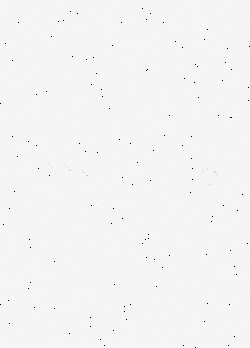 N#CC=CC=CCCC1CCC(CCCCC2CCC(c3ccc(OC(F)(F)F)cc3)CC2)CC1